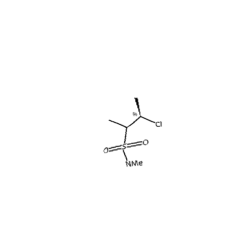 CNS(=O)(=O)C(C)[C@@H](C)Cl